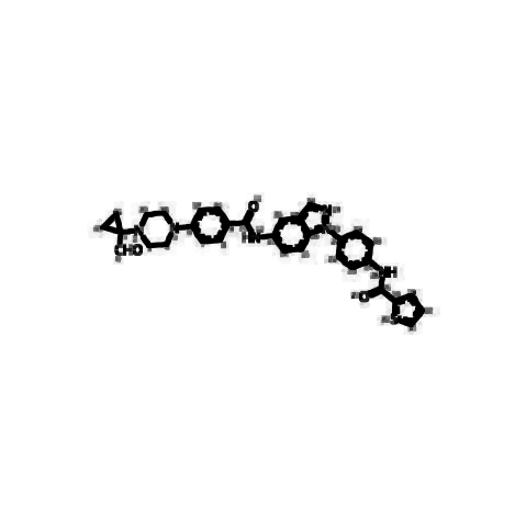 O=CC1(N2CCN(c3ccc(C(=O)Nc4ccc5c(cnn5-c5ccc(NC(=O)c6cccs6)cc5)c4)cc3)CC2)CC1